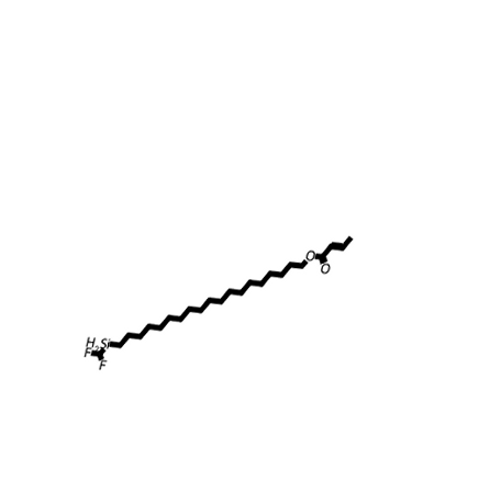 CC=CC(=O)OCCCCCCCCCCCCCCCCCCC[SiH2]C(F)F